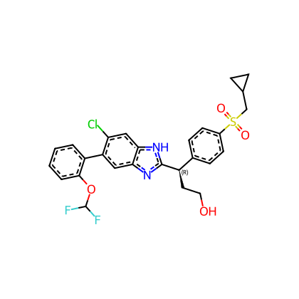 O=S(=O)(CC1CC1)c1ccc([C@@H](CCO)c2nc3cc(-c4ccccc4OC(F)F)c(Cl)cc3[nH]2)cc1